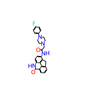 O=C(CN1CCN(c2ccc(F)cc2)CC1)Nc1ccc2[nH]c(=O)c3cccc4c3c2c1C4